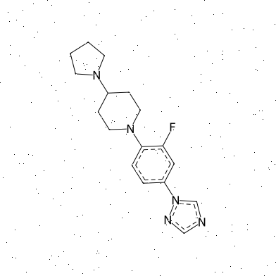 Fc1cc(-n2cncn2)ccc1N1CCC(N2CCCC2)CC1